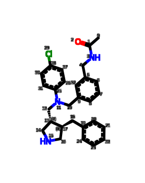 CC(=O)NCc1cccc(CN(C[C@H]2CNC[C@@H]2Cc2ccccc2)c2ccc(Cl)cc2)c1